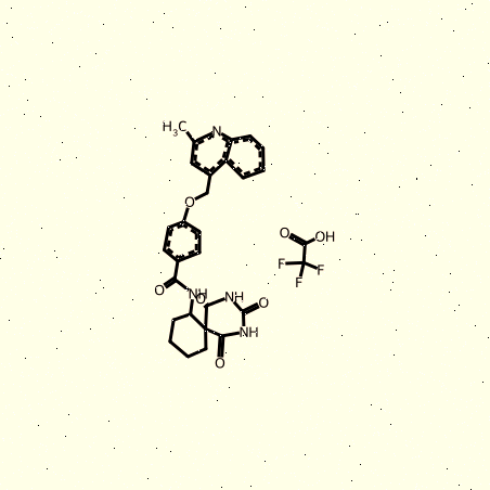 Cc1cc(COc2ccc(C(=O)NC3CCCCC34C(=O)NC(=O)NC4=O)cc2)c2ccccc2n1.O=C(O)C(F)(F)F